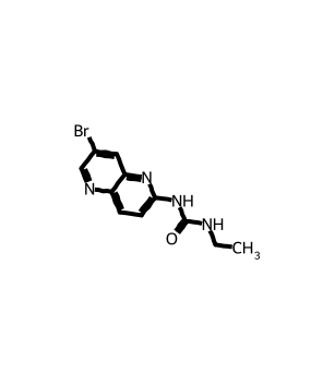 CCNC(=O)Nc1ccc2ncc(Br)cc2n1